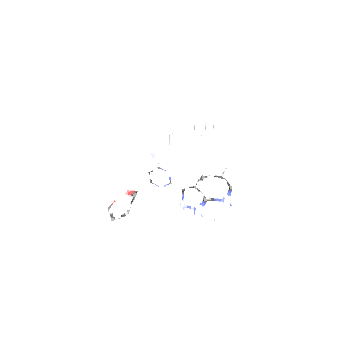 O=C(O)CCNc1nc(-c2n[nH]c3ncc(Cl)cc23)nc(-c2ccco2)c1F